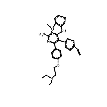 C=Cc1ccc(-c2c(Nc3ccccc3OC)nc(N)nc2-c2ccc(OCCN(CC)CC)cc2)cc1